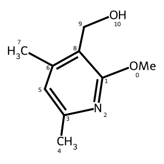 COc1nc(C)cc(C)c1CO